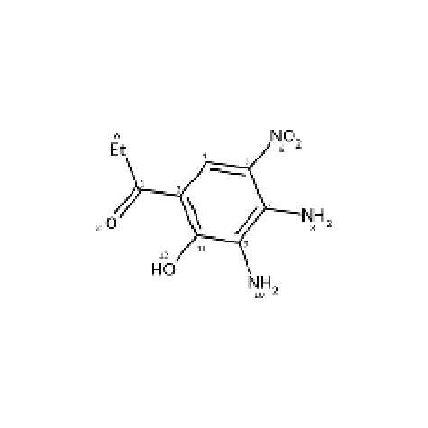 CCC(=O)c1cc([N+](=O)[O-])c(N)c(N)c1O